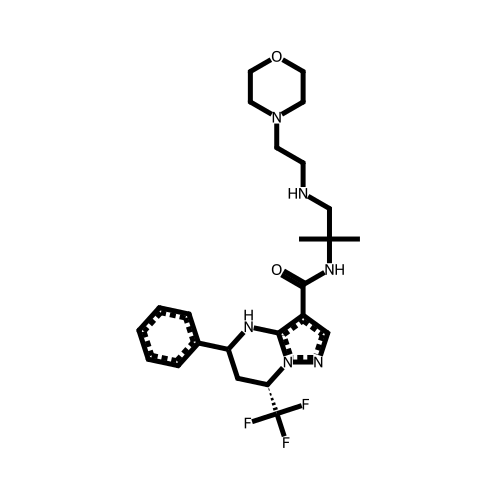 CC(C)(CNCCN1CCOCC1)NC(=O)c1cnn2c1NC(c1ccccc1)C[C@H]2C(F)(F)F